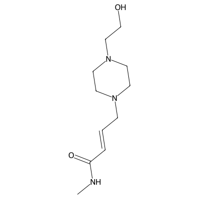 CNC(=O)/C=C/CN1CCN(CCO)CC1